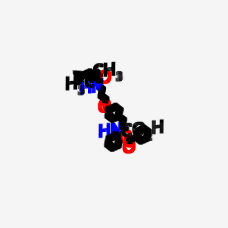 CC(C)(CC1CC1)C(=O)NCCCOc1ccc(CC(Nc2ccccc2OC(=O)c2ccccc2)C(=O)O)cc1